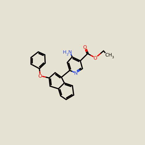 CCOC(=O)c1cnc(-c2cc(Oc3ccccc3)cc3ccccc23)cc1N